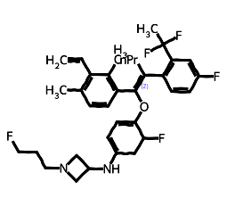 C=Cc1c(C)ccc(/C(OC2=CC=C(NC3CN(CCCF)C3)CC2F)=C(\CCC)c2ccc(F)cc2C(C)(F)F)c1C